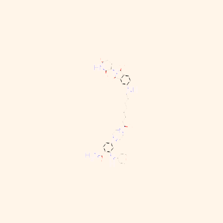 NC(=O)c1ccc(N2CCN(C(=O)CCCCCCCNc3ccc4c(c3)C(=O)N(C3CCC(=O)NC3=O)C4=O)CC2)cc1NC1CCOCC1